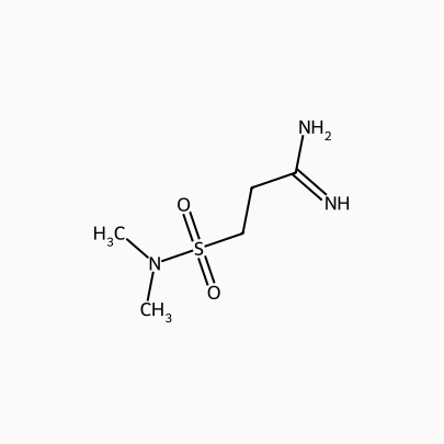 CN(C)S(=O)(=O)CCC(=N)N